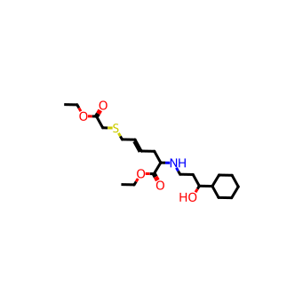 CCOC(=O)CSC/C=C/CC(NCCC(O)C1CCCCC1)C(=O)OCC